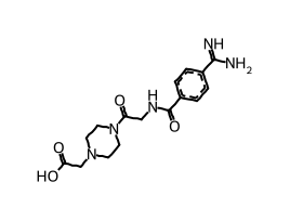 N=C(N)c1ccc(C(=O)NCC(=O)N2CCN(CC(=O)O)CC2)cc1